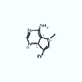 CC(C)c1cn(C)c2c(N)ncnc12